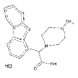 CN1CCN(C(C(=O)O)c2cccc3c2sc2ccccc23)CC1.Cl